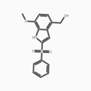 COc1ccc(CO)c2cc(S(=O)(=O)c3ccccc3)[nH]c12